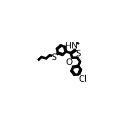 CCCCSc1cccc(C2=C(NC)SC(Cc3cccc(Cl)c3)C2=O)c1